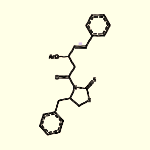 CC(=O)OC(/C=C/c1ccccc1)CC(=O)N1C(=S)SCC1Cc1ccccc1